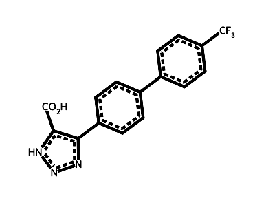 O=C(O)c1[nH]nnc1-c1ccc(-c2ccc(C(F)(F)F)cc2)cc1